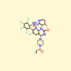 C=CC(=O)N1CCN(c2nc(=O)n(-c3c(C)ccnc3C(C)C)c3nc(-c4c(N)c(F)c(F)c(F)c4F)c(F)cc23)CC1